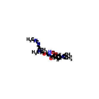 CCN=C=NCCC[N+](C)(C)CCOCCNC(=O)c1cc2ccc(N(CC)CC)cc2oc1=O